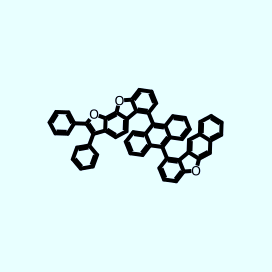 c1ccc(-c2oc3c(ccc4c3oc3cccc(-c5c6ccccc6c(-c6cccc7oc8cc9ccccc9cc8c67)c6ccccc56)c34)c2-c2ccccc2)cc1